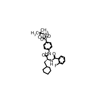 CC(C)(C)NS(=O)(=O)c1ccc(NC(=O)[C@H](CC2CCCCC2)NC(=O)c2ccccc2F)cc1